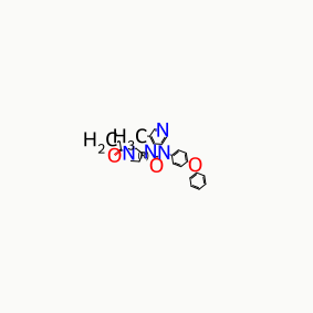 C=CC(=O)N1CC[C@@H](n2c(=O)n(-c3ccc(Oc4ccccc4)cc3)c3cncc(C)c32)C1